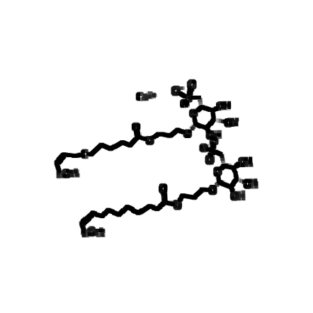 CCCCCCCC/C=C\CCCCCCCC(=O)OCCCO[C@@H]1O[C@H](CS(=O)(=O)[O-])[C@@H](O)[C@H](O)[C@H]1O.CCCCCCCC/C=C\CCCCCCCC(=O)OCCCO[C@@H]1O[C@H](CS(=O)(=O)[O-])[C@@H](O)[C@H](O)[C@H]1O.[Ca+2]